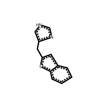 c1ccc2sc(Cc3c[nH]cn3)cc2c1